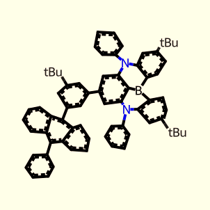 CC(C)(C)c1cc(-c2cc3c4c(c2)N(c2ccccc2)c2cc(C(C)(C)C)ccc2B4c2ccc(C(C)(C)C)cc2N3c2ccccc2)cc(-c2c3ccccc3c(-c3ccccc3)c3ccccc23)c1